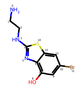 NCCNc1nc2c(O)cc(Br)cc2s1